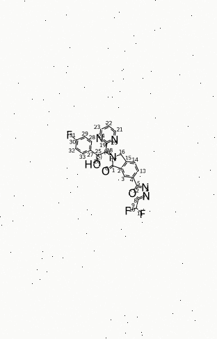 O=C1c2cc(-c3nnc(C(F)F)o3)ccc2CN1[C@H](c1ncccn1)[C@@H](O)c1ccc(F)cc1